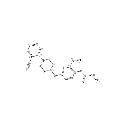 CNC(=O)Oc1ccc(CN2CCN(c3ccccc3C#N)CC2)cc1OC